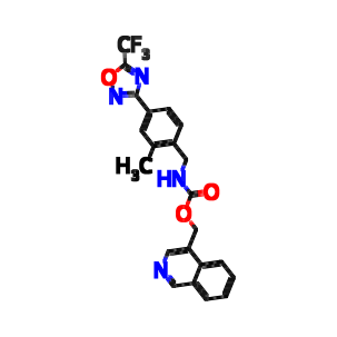 Cc1cc(-c2noc(C(F)(F)F)n2)ccc1CNC(=O)OCc1cncc2ccccc12